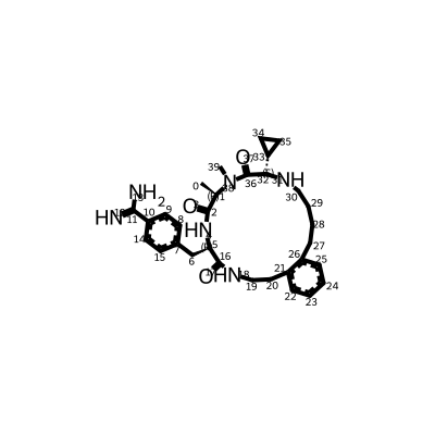 C[C@@H]1C(=O)N[C@H](Cc2ccc(C(=N)N)cc2)C(=O)NCCc2ccccc2CCCCN[C@@H](C2CC2)C(=O)N1C